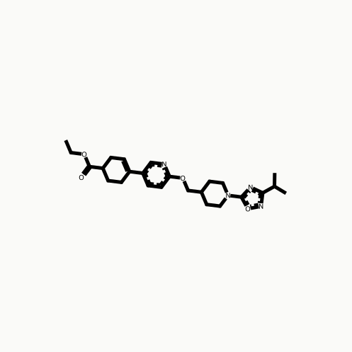 CCOC(=O)C1CC=C(c2ccc(OCC3CCN(c4nc(C(C)C)no4)CC3)nc2)CC1